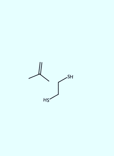 C=C(C)C.SCCS